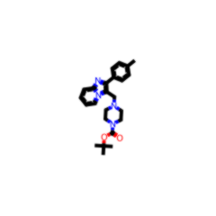 Cc1ccc(-c2nc3ccccn3c2CN2CCN(C(=O)OC(C)(C)C)CC2)cc1